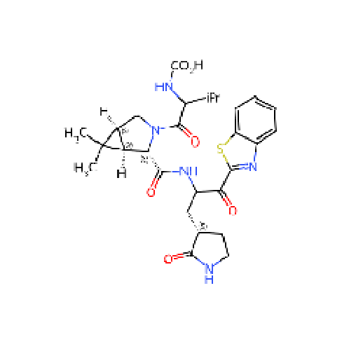 CC(C)C(NC(=O)O)C(=O)N1C[C@H]2[C@@H]([C@H]1C(=O)NC(C[C@@H]1CCNC1=O)C(=O)c1nc3ccccc3s1)C2(C)C